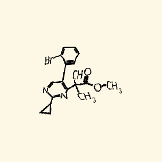 COC(=O)C(C)(C)c1nc(C2CC2)ncc1-c1ccccc1Br